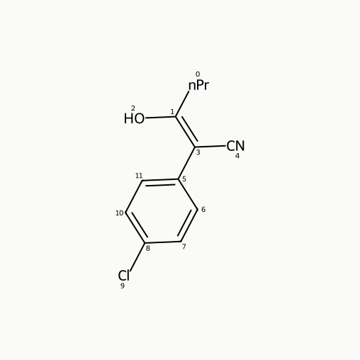 CCCC(O)=C(C#N)c1ccc(Cl)cc1